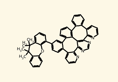 CC1(C)c2ccccc2Oc2c(-c3ccc4c(c3)c3cccc5c3-c3c(ncnc3c3ncccc43)c3ncccc3c3ccccc53)cccc2C1(C)C